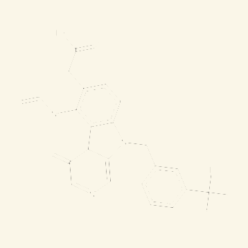 O=CNc1c(CC(=O)O)ccc2c1C1C(=O)C=NC=C1N2Cc1cccc(C(F)(F)F)c1